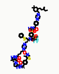 C=C(CC)CCC1=C(CN2CCN(c3ccc(C(=O)NS(=O)(=O)c4ccc(N[C@H](CCN5CCN(C(=O)CCCC(=O)N[C@H](C(=O)N6CCC[C@H]6C(=O)N[C@@H](C)c6ccc(-c7scnc7C)cc6)C(C)(C)C)CC5)CSc5ccccc5)c(S(=O)(=O)C(F)(F)F)c4)cc3)CC2)CCC(C)(C)C1